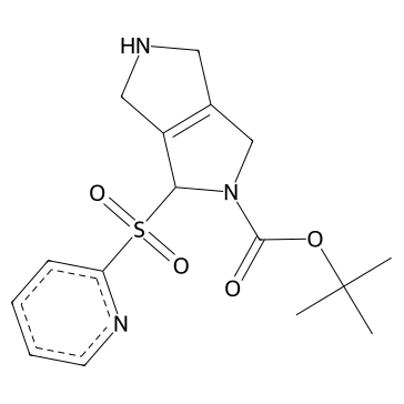 CC(C)(C)OC(=O)N1CC2=C(CNC2)C1S(=O)(=O)c1ccccn1